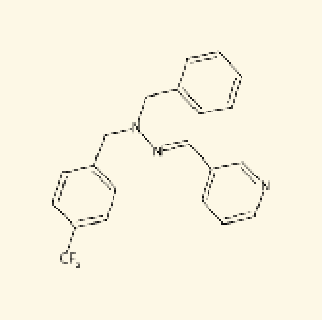 FC(F)(F)c1ccc(CN(Cc2ccccc2)N=Cc2cccnc2)cc1